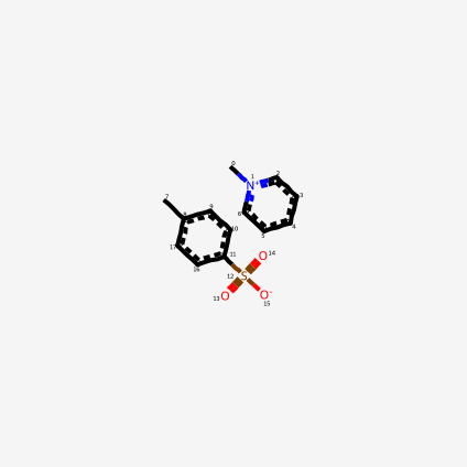 C[n+]1ccccc1.Cc1ccc(S(=O)(=O)[O-])cc1